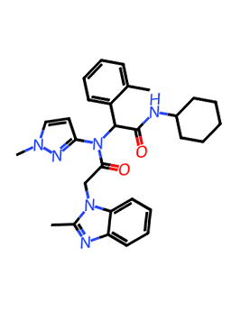 Cc1ccccc1C(C(=O)NC1CCCCC1)N(C(=O)Cn1c(C)nc2ccccc21)c1ccn(C)n1